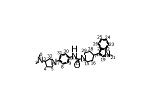 CN(C)C1CCN(c2ccc(NC(=O)N3CCC(c4cn(C)c5ccccc45)CC3)cc2)C1